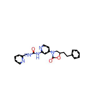 O=C(NCc1ccccn1)Nc1cc(N2CC(CCc3ccccc3)OC2=O)ccn1